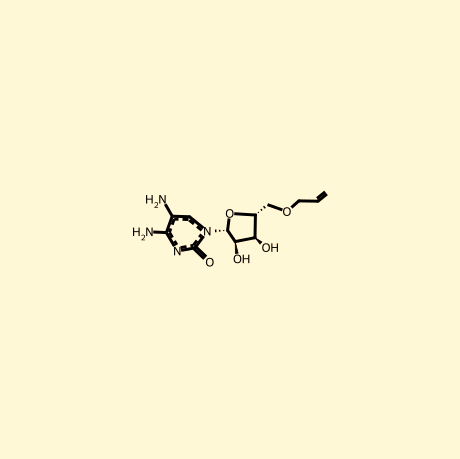 C=CCOC[C@H]1O[C@@H](n2cc(N)c(N)nc2=O)[C@H](O)[C@@H]1O